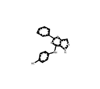 N#Cc1ccc(Nc2nc(-c3ccccc3)nc3cn[nH]c23)cc1